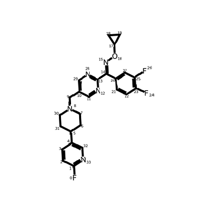 Fc1ccc(C2CCN(Cc3cnc(C(=NOC4CC4)c4ccc(F)c(F)c4)nc3)CC2)cn1